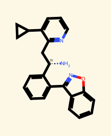 N[C@@H](Cc1ncccc1C1CC1)c1ccccc1-c1noc2ccccc12